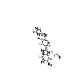 FCCCn1c(-c2cncc(Cn3cncc3Br)c2)nc2cc(F)c(Br)cc21